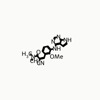 COc1c(C=C(C#N)C(=O)N(C)C)cccc1Nc1ncnc2[nH]ccc12